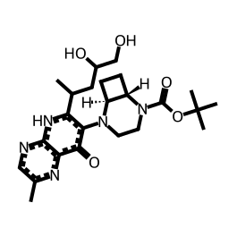 Cc1cnc2[nH]c(C(C)CC(O)CO)c(N3CCN(C(=O)OC(C)(C)C)[C@H]4CC[C@@H]43)c(=O)c2n1